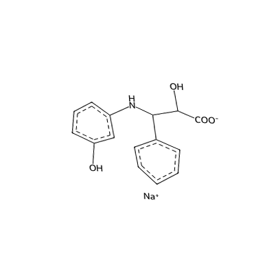 O=C([O-])C(O)C(Nc1cccc(O)c1)c1ccccc1.[Na+]